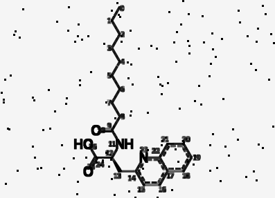 CCCCCCCCCC(=O)N[C@@H](Cc1ccc2ccccc2n1)C(=O)O